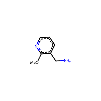 COc1ncccc1CN